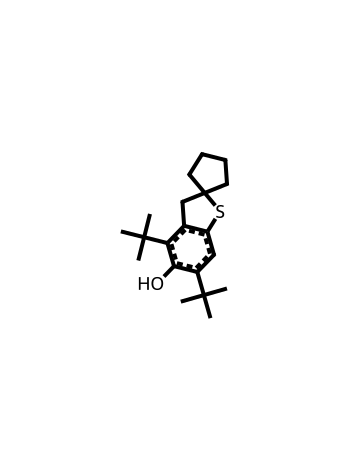 CC(C)(C)c1cc2c(c(C(C)(C)C)c1O)CC1(CCCC1)S2